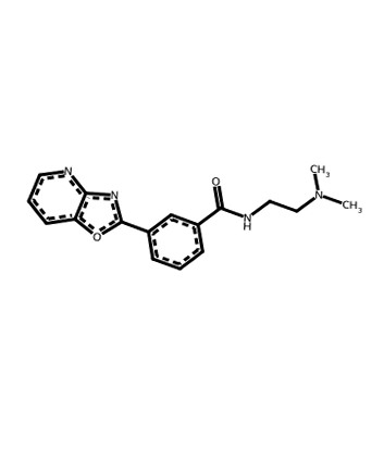 CN(C)CCNC(=O)c1cccc(-c2nc3ncccc3o2)c1